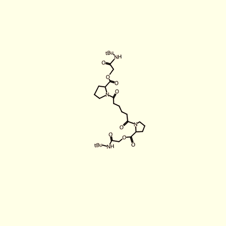 CC(C)(C)NC(=O)COC(=O)C1CCCN1C(=O)CCCCC(=O)N1CCCC1C(=O)OCC(=O)NC(C)(C)C